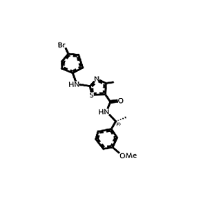 COc1cccc([C@@H](C)NC(=O)c2sc(Nc3ccc(Br)cc3)nc2C)c1